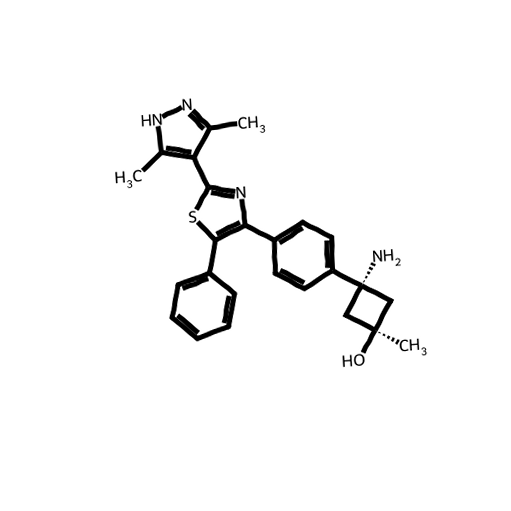 Cc1n[nH]c(C)c1-c1nc(-c2ccc([C@]3(N)C[C@](C)(O)C3)cc2)c(-c2ccccc2)s1